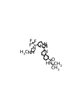 CNC1CCN([C@H](c2ccc3nnc(-c4ccc5ccc(C(=O)NC(C)C)cc5n4)n3c2)C(F)(F)F)C1